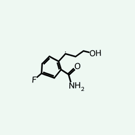 NC(=O)c1cc(F)ccc1[CH]CCO